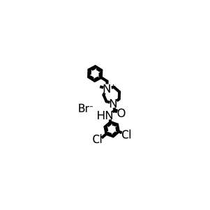 C[N+]1(Cc2ccccc2)CCCN(C(=O)Nc2cc(Cl)cc(Cl)c2)CC1.[Br-]